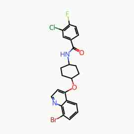 O=C(NC1CCC(Oc2ccnc3c(Br)cccc23)CC1)c1ccc(F)c(Cl)c1